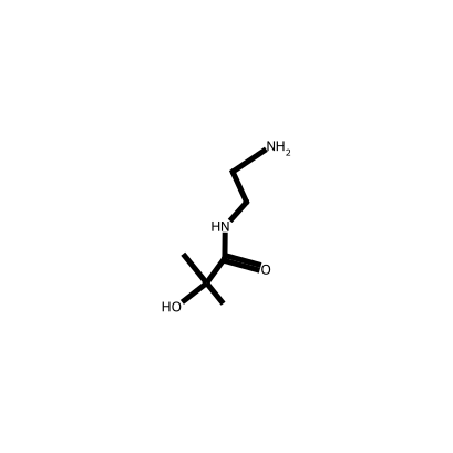 CC(C)(O)C(=O)NCCN